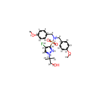 COc1ccc(CN(Cc2ccc(OC)cc2)S(=O)(=O)c2nn(C(C)(C)CO)cc2F)cc1